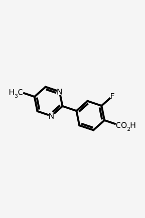 Cc1cnc(-c2ccc(C(=O)O)c(F)c2)nc1